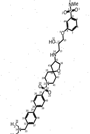 CNS(=O)(=O)c1cccc(OC[C@@H](O)CNC2COC3(CCN(S(=O)(=O)c4ccc(-c5ccc(CN(C)C)cc5)cc4)CC3)C2)c1